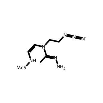 CSN/C=C\N(CCN=[N+]=[N-])/C(C)=N/N